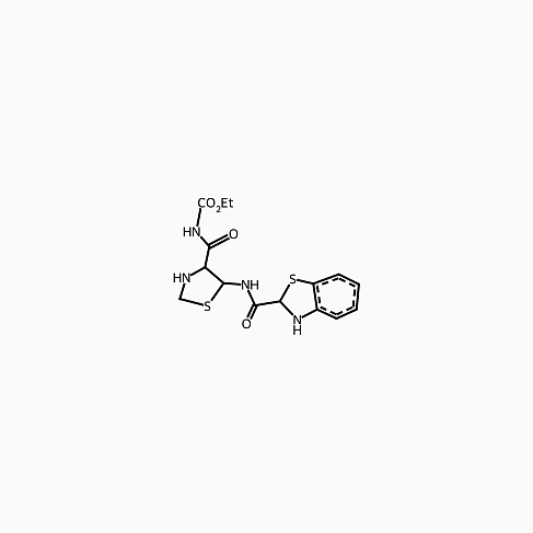 CCOC(=O)NC(=O)C1NCSC1NC(=O)C1Nc2ccccc2S1